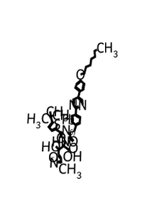 CCCCCCCOc1ccc(-c2cnc(-c3ccc(C[C@H](NC(=O)c4ccc(C(C)(C)C)s4)C(=O)NC(C(=O)O)C(O)c4cc(C)no4)cc3)nc2)cc1